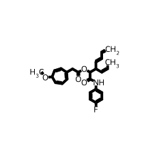 C=C/C=C/C(/C=C\C)C(OC(=O)CC1=CC=CC(OC)C=C1)C(=O)Nc1ccc(F)cc1